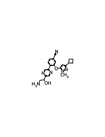 Cn1nc(C2CCC2)cc1Oc1cc(C#N)ccc1-c1cnc(C(O)CN)cn1